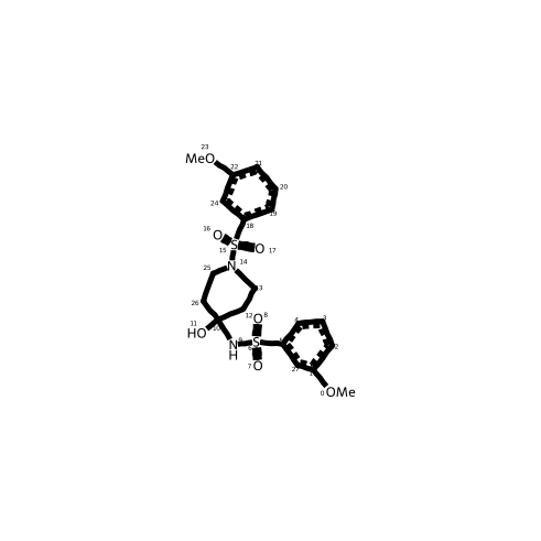 COc1cccc(S(=O)(=O)NC2(O)CCN(S(=O)(=O)c3cccc(OC)c3)CC2)c1